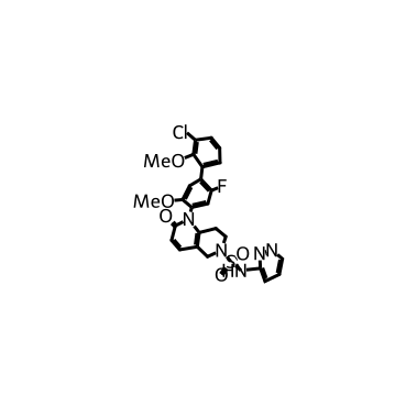 COc1cc(-c2cccc(Cl)c2OC)c(F)cc1-n1c2c(ccc1=O)CN(S(=O)(=O)Nc1cccnn1)CC2